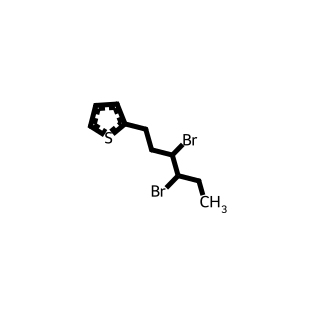 CCC(Br)C(Br)CCc1cccs1